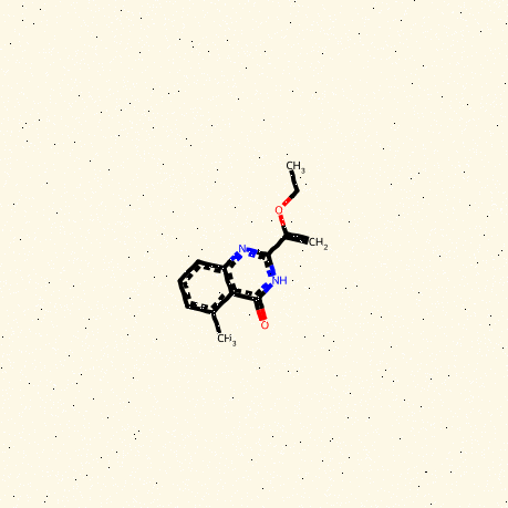 C=C(OCC)c1nc2cccc(C)c2c(=O)[nH]1